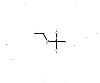 C[CH]OC(C)(Cl)Cl